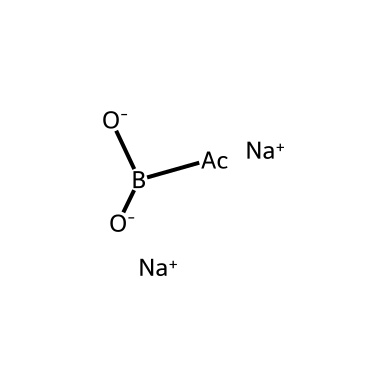 CC(=O)B([O-])[O-].[Na+].[Na+]